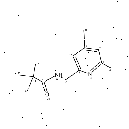 Cc1cc(C)nc(CNC(=O)C(C)(C)C)c1